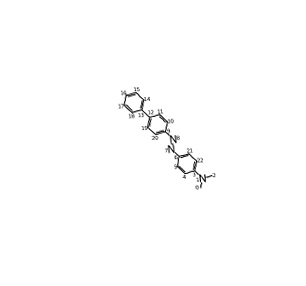 CN(C)c1ccc(N=Nc2ccc(-c3ccccc3)cc2)cc1